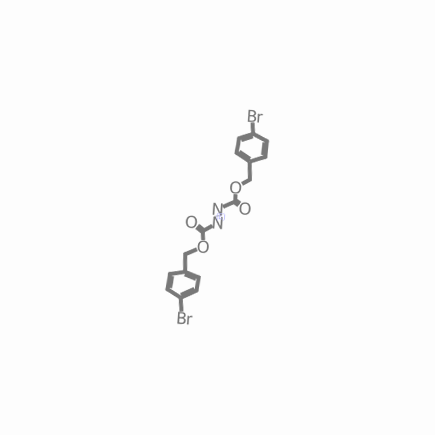 O=C(/N=N/C(=O)OCc1ccc(Br)cc1)OCc1ccc(Br)cc1